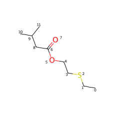 CCSCCOC(=O)CC(C)C